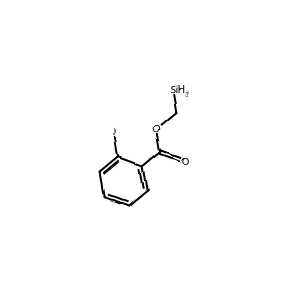 O=C(OC[SiH3])c1ccccc1I